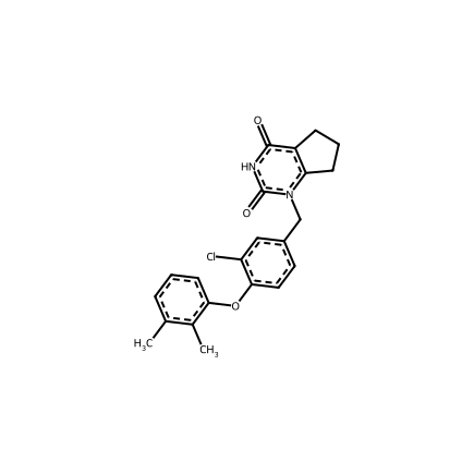 Cc1cccc(Oc2ccc(Cn3c4c(c(=O)[nH]c3=O)CCC4)cc2Cl)c1C